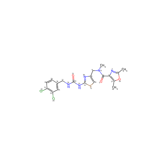 Cc1nc(C(=O)N(C)Cc2csc(NC(=O)NCc3ccc(Cl)c(Cl)c3)n2)c(C)o1